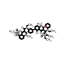 CCN(C(=O)c1c(OS(=O)(=O)N(C)C)c2c(Cl)cccc2n(C)c1=O)c1cccc(-c2ccc3c(c2Cl)c(OS(=O)(=O)N(CC)CC)c(C(=O)N(CC)c2ccccc2)c(=O)n3C)c1